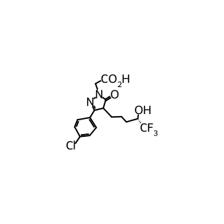 O=C(O)CN1N=C(c2ccc(Cl)cc2)C(CCC[C@H](O)C(F)(F)F)C1=O